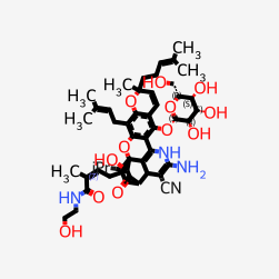 CC(C)=CCCC1(C)C=Cc2c(c(CC=C(C)C)c3c(c2O[C@@H]2O[C@H](CO)[C@@H](O)[C@H](O)[C@H]2O)C2=C4C(C(C#N)=C(N)N2)C2CC(C(C)C)C4(O3)C(O)(C/C=C(/C)C(=O)NCCO)C2=O)O1